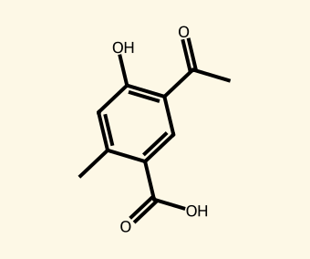 CC(=O)c1cc(C(=O)O)c(C)cc1O